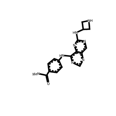 CNC(=O)c1ccc(Nc2ncnc3cnc(NC4CNC4)nc23)cc1